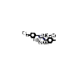 CCOc1ccc(/C=C(NOC)/C(=C/c2ccc(C)cc2)NC=O)cc1